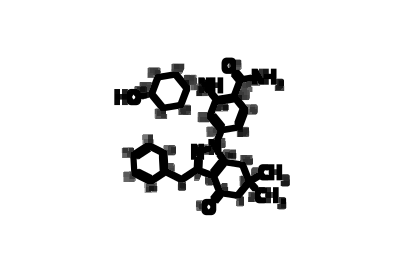 CC1(C)CC(=O)c2c(Cc3ccccc3)nn(-c3ccc(C(N)=O)c(N[C@H]4CC[C@H](O)CC4)c3)c2C1